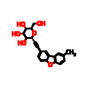 Cc1ccc2oc3ccc(C#C[C@H]4O[C@H](CO)[C@@H](O)[C@H](O)[C@@H]4O)cc3c2c1